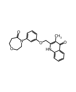 Cc1c(COc2cccc(N3CCOCCC3=O)c2)[nH]c2ccccc2c1=O